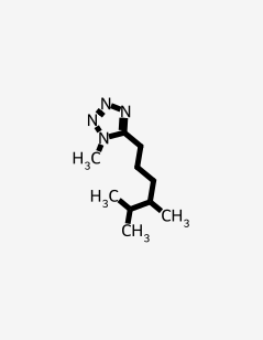 CC(C)C(C)CCCc1nnnn1C